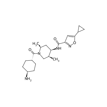 C[C@H]1CN(C(=O)[C@H]2CC[C@H](N)CC2)[C@@H](C)C[C@H]1NC(=O)c1cc(C2CC2)on1